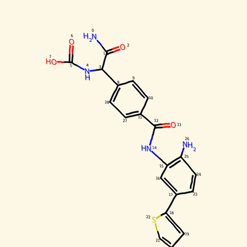 NC(=O)C(NC(=O)O)c1ccc(C(=O)Nc2cc(-c3cccs3)ccc2N)cc1